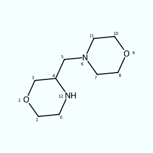 C1COCC(CN2CCOCC2)N1